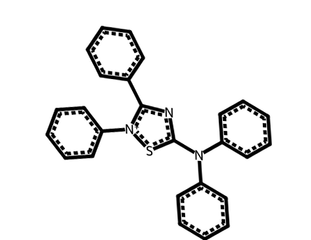 c1ccc(-c2nc(N(c3ccccc3)c3ccccc3)s[n+]2-c2ccccc2)cc1